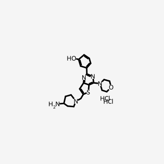 Cl.Cl.NC1CCN(Cc2cc3nc(-c4cccc(O)c4)nc(N4CCOCC4)c3s2)CC1